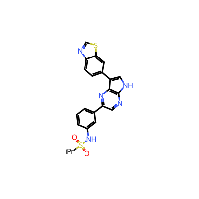 CC(C)S(=O)(=O)Nc1cccc(-c2cnc3[nH]cc(-c4ccc5ncsc5c4)c3n2)c1